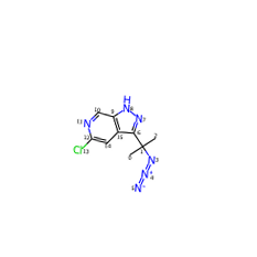 CC(C)(N=[N+]=[N-])c1n[nH]c2cnc(Cl)cc12